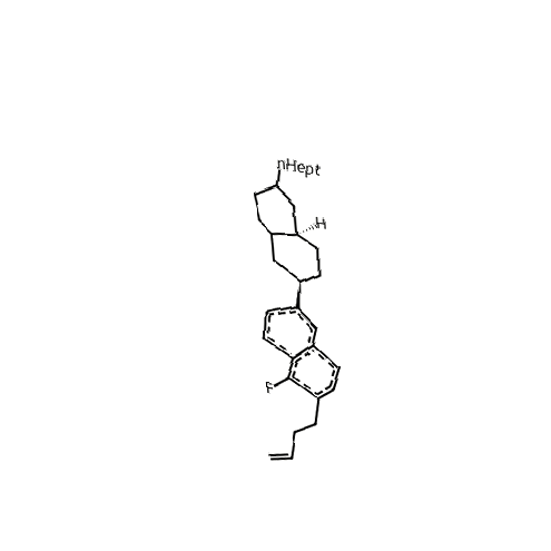 C=CCCc1ccc2cc([C@@H]3CC[C@@H]4CC(CCCCCCC)CCC4C3)ccc2c1F